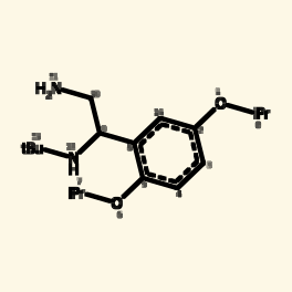 CC(C)Oc1ccc(OC(C)C)c(C(CN)NC(C)(C)C)c1